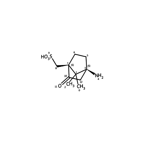 CC1(C)[C@]2(N)CC[C@@]1(CS(=O)(=O)O)C(=O)C2